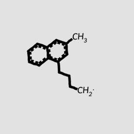 [CH2]CCCc1cc(C)cc2ccccc12